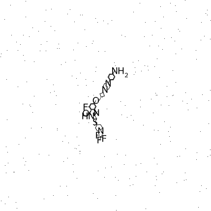 Nc1ccc(N2CCN([C@H]3C[C@H](COc4cc(F)c5c(=O)[nH]c(CSC6CCN(CC(F)(F)F)CC6)nc5c4)C3)CC2)cc1